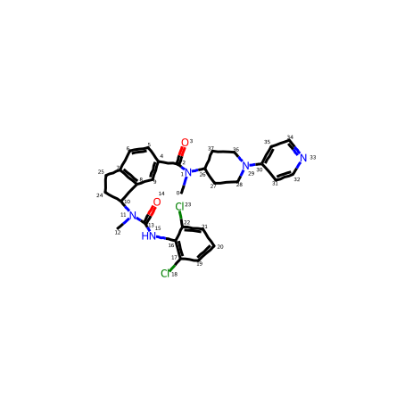 CN(C(=O)c1ccc2c(c1)C(N(C)C(=O)Nc1c(Cl)cccc1Cl)CC2)C1CCN(c2ccncc2)CC1